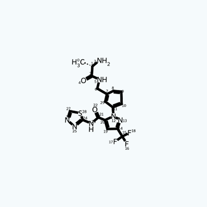 C[C@H](N)C(=O)NCc1cccc(-n2nc(C(F)(F)F)cc2C(=O)Nc2nncs2)c1